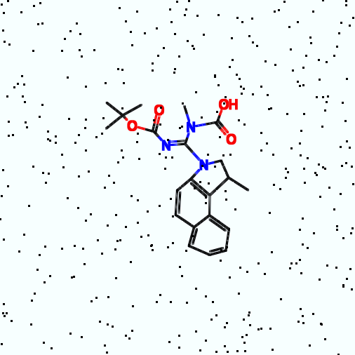 CC1CN(C(=NC(=O)OC(C)(C)C)N(C)C(=O)O)c2ccc3ccccc3c21